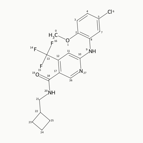 COc1ccc(Cl)cc1Nc1cc(C(F)(F)F)c(C(=O)NCC2CCC2)cn1